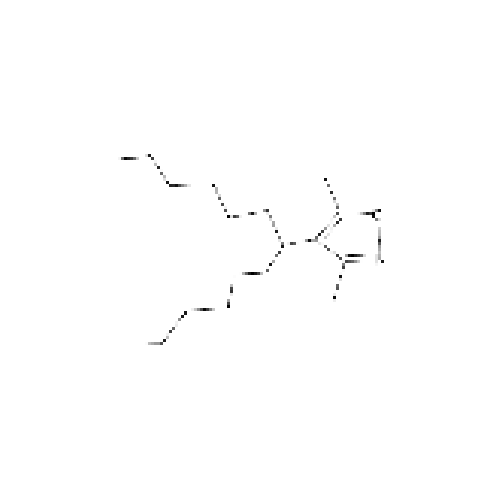 CCCCCCC(CCCCCC)c1c(C)noc1C